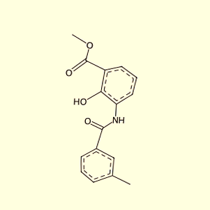 COC(=O)c1cccc(NC(=O)c2cccc(C)c2)c1O